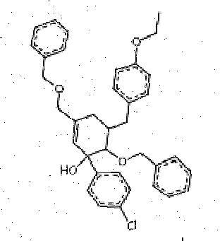 CCOc1ccc(CC2CC(COCc3ccccc3)=CC(O)(c3ccc(Cl)cc3)C2OCc2ccccc2)cc1